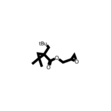 CC(C)(C)CC1(C(=O)OCC2CO2)CC1(C)C